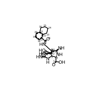 N=C1NC2C(C(=O)O)NC(=N)N3CC(NC(=O)c4cccc5c4CCCC5)C(O)(O)C23N1